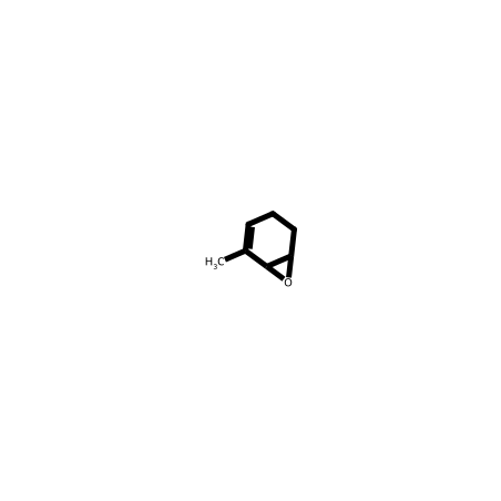 CC1=CCCC2OC12